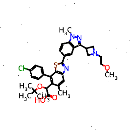 COCCN1CC(c2nn(C)c3ccc(-c4nc5cc(C)c(C(OC(C)(C)C)C(=O)O)c(-c6ccc(Cl)cc6)c5s4)cc23)C1